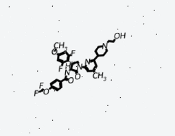 COc1cc(F)c([C@@H]2CN(c3cc(C)cc(C4CCN(CCO)CC4)n3)C(=O)C2NC(=O)c2ccc(OC(F)F)cc2)c(F)c1